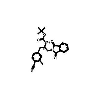 Cc1cc(C[C@H](CN2C(=O)c3ccccc3C2=O)NC(=O)OC(C)(C)C)ccc1C#N